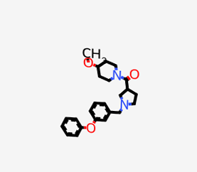 COC1CCN(C(=O)C2CCN(Cc3cccc(Oc4ccccc4)c3)C2)CC1